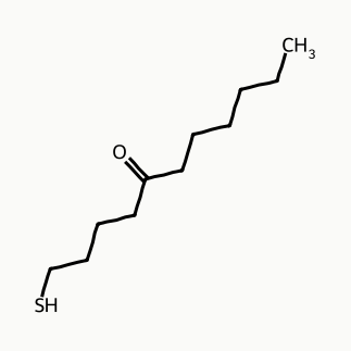 CCCCCCC(=O)CCCCS